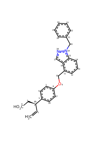 C=C[C@@H](CC(=O)O)c1ccc(OCc2cccc3c2cnn3Cc2ccccc2)cc1